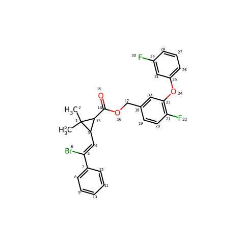 CC1(C)C(C=C(Br)c2ccccc2)C1C(=O)OCc1ccc(F)c(Oc2cccc(F)c2)c1